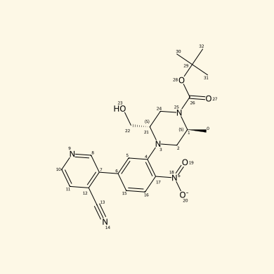 C[C@H]1CN(c2cc(-c3cnccc3C#N)ccc2[N+](=O)[O-])[C@H](CO)CN1C(=O)OC(C)(C)C